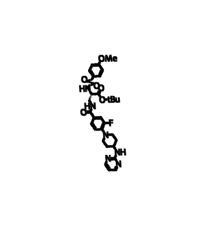 COc1ccc(S(=O)(=O)N[C@@H](CNC(=O)c2ccc(N3CCC(Nc4ncccn4)CC3)c(F)c2)C(=O)OC(C)(C)C)cc1